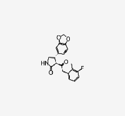 Cc1c(F)cccc1CC(=O)[C@H]1C(=O)NC[C@@H]1c1ccc2c(c1)OCO2